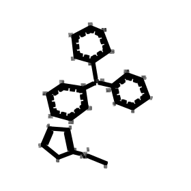 [CH3][Ni][C]1=CC=CC1.c1ccc(P(c2ccccc2)c2ccccc2)cc1